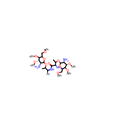 CCCOCC1OC(OC(C)C(N)C(=O)NC(C(C)=O)C(C)OC2OC(COCCC)C(OCCC)[C@@H](OCCC)[C@@H]2N)[C@@H](N)[C@H](OCCC)C1OCCC